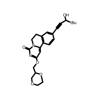 CC(C)(C)C(O)C#Cc1ccc2c(c1)CCn1c-2cc(OCC2COCCO2)nc1=O